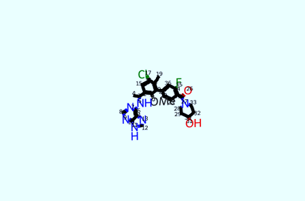 COc1c(C(C)Nc2ncnc3[nH]cnc23)cc(Cl)c(C)c1-c1ccc(C(=O)N2CCC(O)CC2)c(F)c1